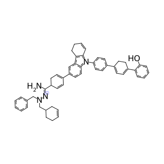 N/C(=N\N(Cc1ccccc1)CC1CC=CCC1)C1C=CC(c2ccc3c(c2)c2c(n3-c3ccc(C4=CC=C(c5ccccc5O)CC4)cc3)C=CCC2)=CC1